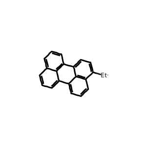 C[CH]c1ccc2c3cccc4cccc(c5cccc1c52)c43